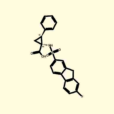 O=C(O)[C@@]1(NS(=O)(=O)c2ccc3c(c2)Cc2cc(F)ccc2-3)C[C@H]1c1ccccc1